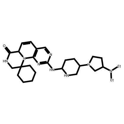 CCN(CC)C1CCN(C2CCC(Nc3ncc4c(n3)N3C(C=C4)C(=O)NCC34CCCCC4)NC2)C1